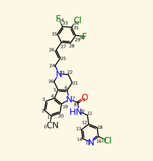 N#Cc1ccc2c3c(n(C(=O)NCc4ccnc(Cl)c4)c2c1)CCN(CC=Cc1cc(F)c(Cl)c(F)c1)C3